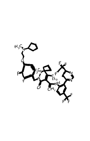 C=C(Nc1ccc(C(F)(F)F)cc1C1=NC=NC(C(F)(F)F)C1)C1=C(C)C2(CCC2)N(C)N(Cc2ccc(OCCN(C)C3CCCC3)c(F)c2F)C1=O